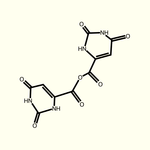 O=C(OC(=O)c1cc(=O)[nH]c(=O)[nH]1)c1cc(=O)[nH]c(=O)[nH]1